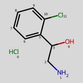 Cl.NCC(O)c1ccccc1Cl